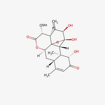 C=C1[C@@H]2[C@@H](OC)C(=O)O[C@@H]3C[C@H]4C(C)=CC(=O)[C@@H](O)[C@]4(C)[C@@H]4C23CO[C@]4(O)[C@@H]1O